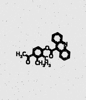 CC(=O)c1ccc(OC(=O)c2c3ccccc3nc3ccccc23)c(C)c1C